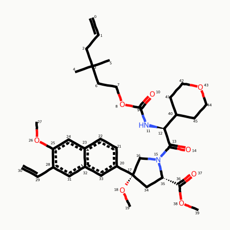 C=CCC(C)(C)CCOC(=O)N[C@H](C(=O)N1C[C@](OC)(c2ccc3cc(OC)c(C=C)cc3c2)C[C@H]1C(=O)OC)C1CCOCC1